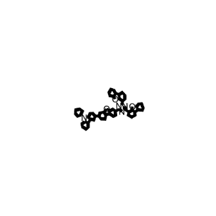 c1ccc(-n2c3ccccc3c3cc(-c4ccc5c(c4)oc4cc(-c6nc(-c7cccc8c7oc7ccccc78)nc(-c7cccc8c7oc7ccccc78)n6)ccc45)ccc32)cc1